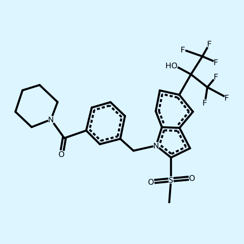 CS(=O)(=O)c1cc2cc(C(O)(C(F)(F)F)C(F)(F)F)ccc2n1Cc1cccc(C(=O)N2CCCCC2)c1